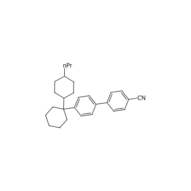 CCCC1CCC(C2(c3ccc(-c4ccc(C#N)cc4)cc3)CCCCC2)CC1